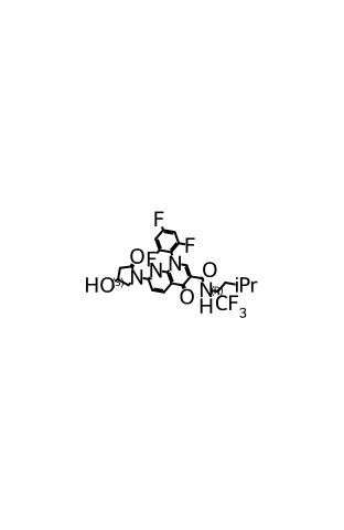 CC(C)C[C@@H](NC(=O)c1cn(-c2c(F)cc(F)cc2F)c2nc(N3C[C@@H](O)CC3=O)ccc2c1=O)C(F)(F)F